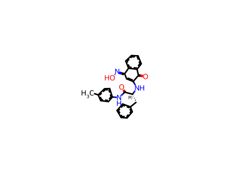 Cc1ccc(NC(=O)[C@@H](Cc2ccccc2)NC2=CC(=NO)c3ccccc3C2=O)cc1